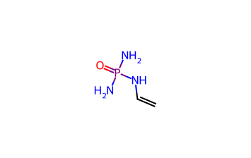 C=CNP(N)(N)=O